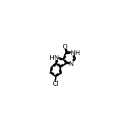 O=c1[nH]cnc2c1[nH]c1ccc(Cl)cc12